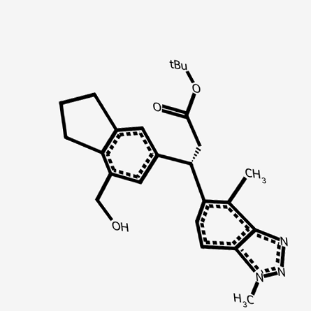 Cc1c([C@@H](CC(=O)OC(C)(C)C)c2cc(CO)c3c(c2)CCC3)ccc2c1nnn2C